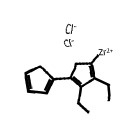 CCC1=[C]([Zr+2])CC(C2=CC=CC2)=C1CC.[Cl-].[Cl-]